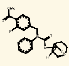 COC(=O)c1ccc(CN(C(=O)O[C@H]2CN3CCC2CC3)c2ccccc2)cc1F